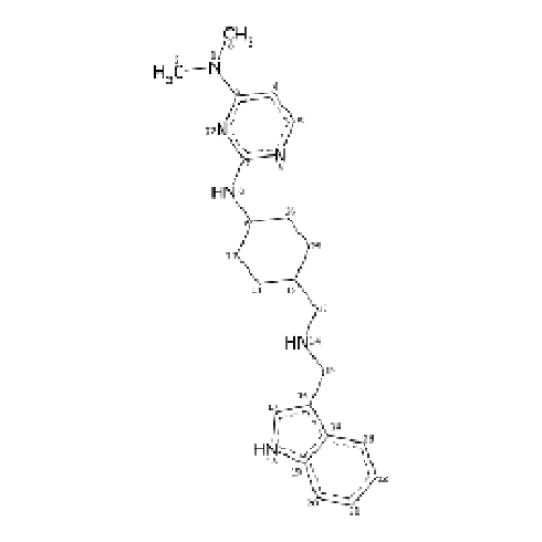 CN(C)c1ccnc(NC2CCC(CNCc3c[nH]c4ccccc34)CC2)n1